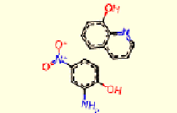 Nc1cc([N+](=O)[O-])ccc1O.Oc1cccc2cccnc12